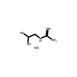 Cl.N=C(N)NCC(S)S